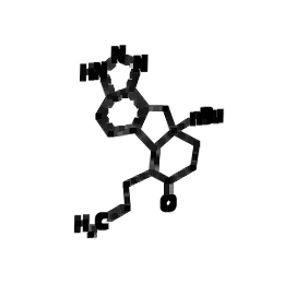 C=CCC1=C2c3ccc4[nH]nnc4c3CC2(CCCC)CCC1=O